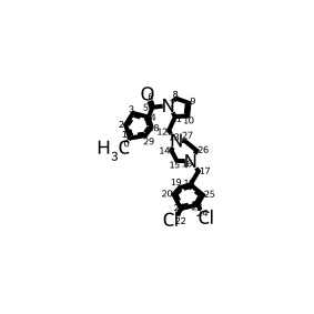 Cc1ccc(C(=O)N2CC=CC2CN2CCN(Cc3ccc(Cl)c(Cl)c3)CC2)cc1